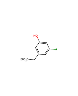 CCOC(=O)Cc1cc(O)cc(F)c1